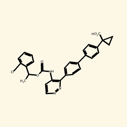 CC(OC(=O)Nc1ccnnc1-c1ccc(-c2ccc(C3(C(=O)O)CC3)cc2)cc1)c1ccccc1Cl